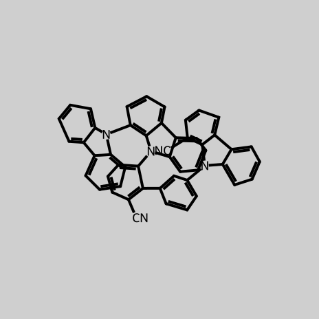 N#Cc1cccc(-n2c3ccccc3c3cccc(-n4c5ccccc5c5ccccc54)c32)c1-c1cccc(-n2c3ccccc3c3cccc(C#N)c32)c1